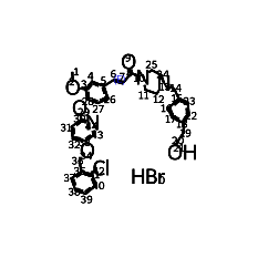 Br.COc1cc(/C=C/C(=O)N2CCN(Cc3ccc(CCO)cc3)CC2)ccc1Oc1ccc(OCc2ccccc2Cl)cn1